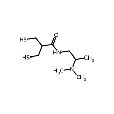 CC(CNC(=O)C(CS)CS)N(C)C